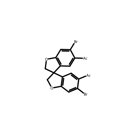 CC(=O)c1cc2c(cc1Br)OCC21COc2cc(Br)c(C(C)=O)cc21